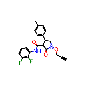 C#CCON1CC(c2ccc(C)cc2)C(C(=O)Nc2cccc(F)c2F)C1=O